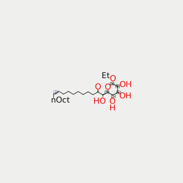 CCCCCCCC/C=C\CCCCCCCC(=O)C(O)[C@H]1O[C@H](OCC)[C@H](O)[C@@H](O)[C@@H]1O